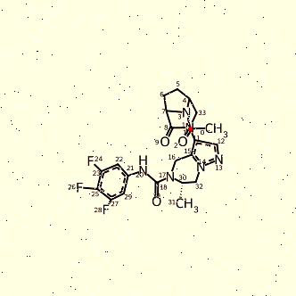 CC(=O)N1C2CCC1C(=O)N(c1cnn3c1CN(C(=O)Nc1cc(F)c(F)c(F)c1)[C@@H](C)C3)C2